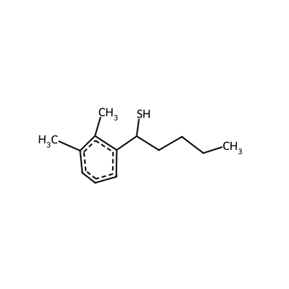 CCCCC(S)c1cccc(C)c1C